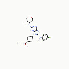 NC(=O)C1CCC(n2c(Nc3c(F)cc(F)cc3F)nc3cnc(N[C@@H]4CCOC[C@H]4F)nc32)CC1